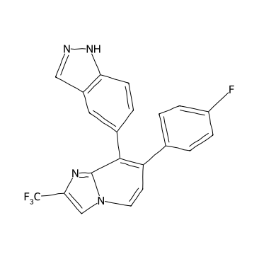 Fc1ccc(-c2ccn3cc(C(F)(F)F)nc3c2-c2ccc3[nH]ncc3c2)cc1